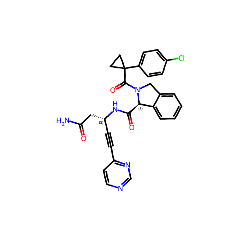 NC(=O)C[C@@H](C#Cc1ccncn1)NC(=O)[C@@H]1c2ccccc2CN1C(=O)C1(c2ccc(Cl)cc2)CC1